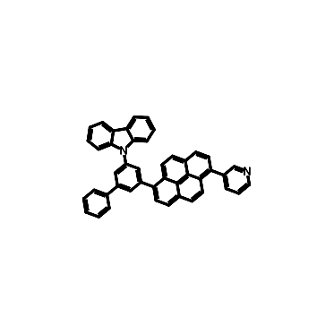 c1ccc(-c2cc(-c3ccc4ccc5c(-c6cccnc6)ccc6ccc3c4c65)cc(-n3c4ccccc4c4ccccc43)c2)cc1